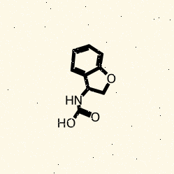 O=C(O)NC1COc2ccccc21